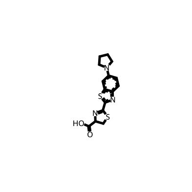 O=C(O)C1CSC(c2nc3ccc(N4CCCC4)cc3s2)=N1